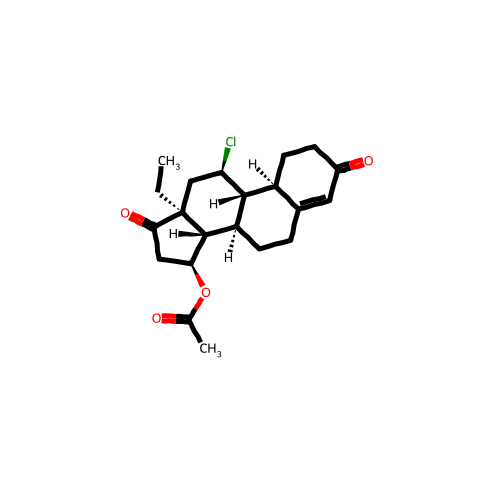 CC[C@]12C[C@@H](Cl)[C@H]3[C@@H](CCC4=CC(=O)CC[C@@H]43)[C@@H]1[C@@H](OC(C)=O)CC2=O